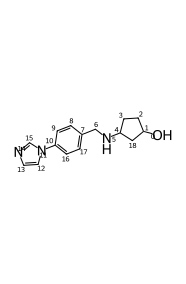 OC1CCC(NCc2ccc(-n3ccnc3)cc2)C1